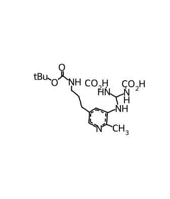 Cc1ncc(CCCNC(=O)OC(C)(C)C)cc1NC(NC(=O)O)NC(=O)O